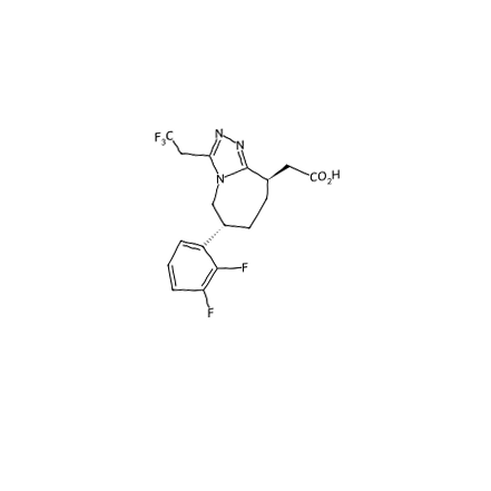 O=C(O)C[C@H]1CC[C@H](c2cccc(F)c2F)Cn2c(CC(F)(F)F)nnc21